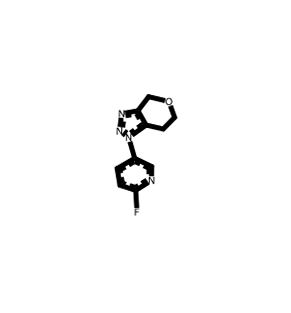 Fc1ccc(-n2nnc3c2CCOC3)cn1